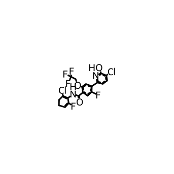 O=C(NC1=C(Cl)CCC=C1F)c1cc(F)c(-c2ccc(Cl)c(O)n2)cc1OCC(F)(F)F